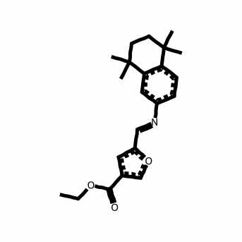 CCOC(=O)c1coc(C=Nc2ccc3c(c2)C(C)(C)CCC3(C)C)c1